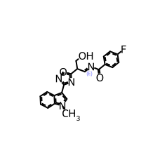 Cn1cc(-c2noc(C(/C=N/C(=O)c3ccc(F)cc3)CO)n2)c2ccccc21